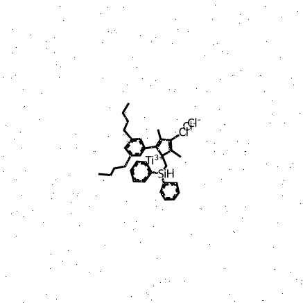 CCCCc1cc(CCCC)cc(C2=C(C)C(C)=C(C)[C]2([Ti+3])C[SiH](c2ccccc2)c2ccccc2)c1.[Cl-].[Cl-].[Cl-]